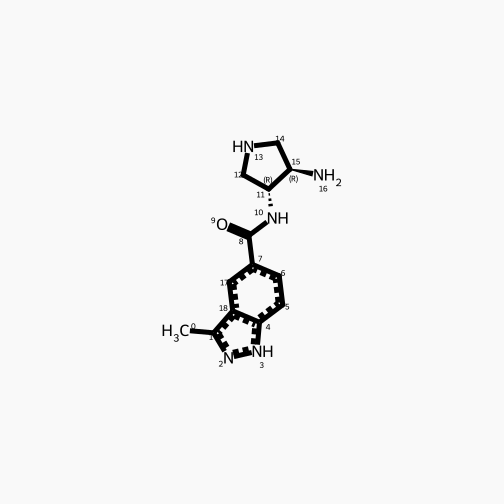 Cc1n[nH]c2ccc(C(=O)N[C@@H]3CNC[C@H]3N)cc12